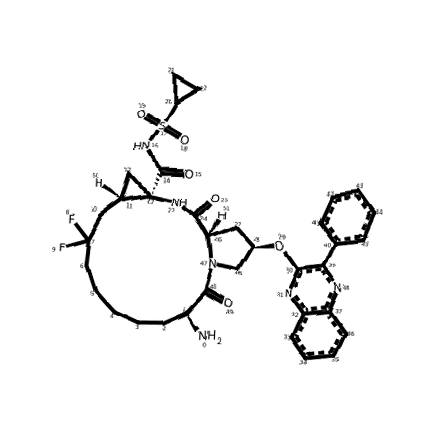 N[C@H]1CCCCCC(F)(F)C[C@@H]2C[C@@]2(C(=O)NS(=O)(=O)C2CC2)NC(=O)[C@@H]2C[C@@H](Oc3nc4ccccc4nc3-c3ccccc3)CN2C1=O